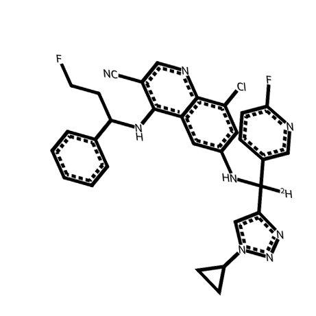 [2H]C(Nc1cc(Cl)c2ncc(C#N)c(NC(CCF)c3ccccc3)c2c1)(c1ccc(F)nc1)c1cn(C2CC2)nn1